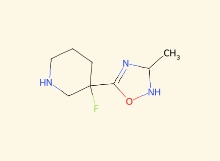 CC1N=C(C2(F)CCCNC2)ON1